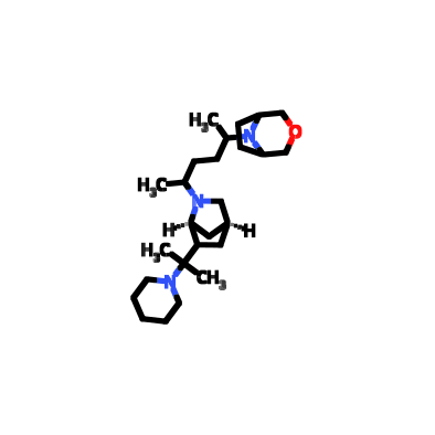 CC(CCC(C)N1C[C@H]2CC(C(C)(C)N3CCCCC3)[C@@H]1C2)N1C2CCC1COC2